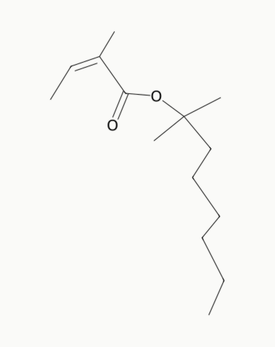 CC=C(C)C(=O)OC(C)(C)CCCCCC